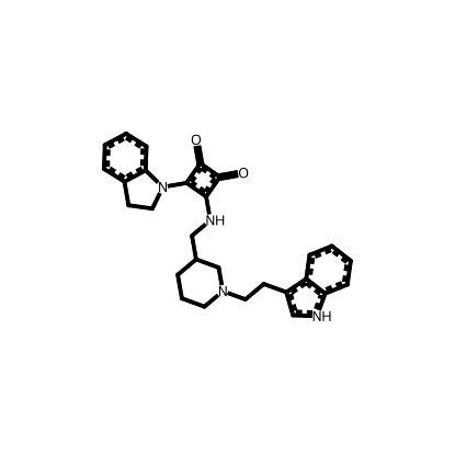 O=c1c(NCC2CCCN(CCc3c[nH]c4ccccc34)C2)c(N2CCc3ccccc32)c1=O